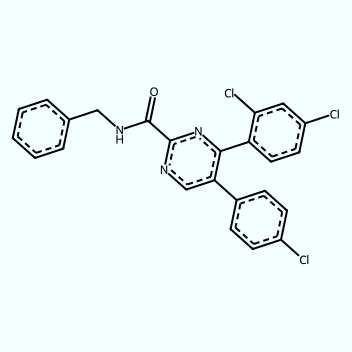 O=C(NCc1ccccc1)c1ncc(-c2ccc(Cl)cc2)c(-c2ccc(Cl)cc2Cl)n1